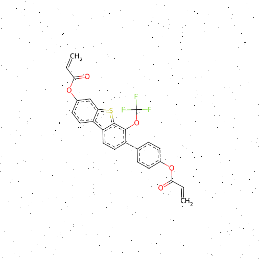 C=CC(=O)Oc1ccc(-c2ccc3c(sc4cc(OC(=O)C=C)ccc43)c2OC(F)(F)F)cc1